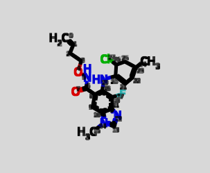 C=CCCONC(=O)c1cc2c(ncn2C)c(F)c1NC1=CC=C(C)CC1Cl